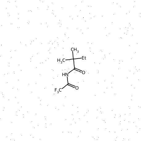 CCC(C)(C)C(=O)NC(=O)C(F)(F)F